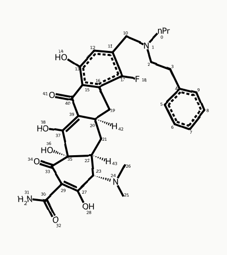 CCCN(CCc1ccccc1)Cc1cc(O)c2c(c1F)C[C@H]1C[C@H]3[C@H](N(C)C)C(O)=C(C(N)=O)C(=O)[C@@]3(O)C(O)=C1C2=O